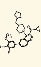 COc1cc(-c2ccc3ncc(C(=O)C4CC4)c(N4CCC(CN5CCCC5)CC4)c3c2)cc(F)c1O